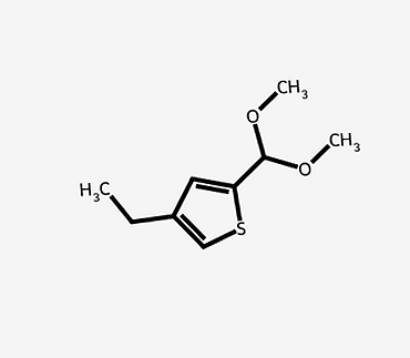 CCc1csc(C(OC)OC)c1